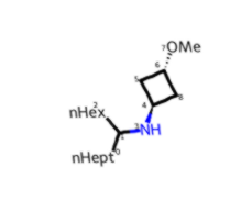 CCCCCCCC(CCCCCC)N[C@H]1C[C@H](OC)C1